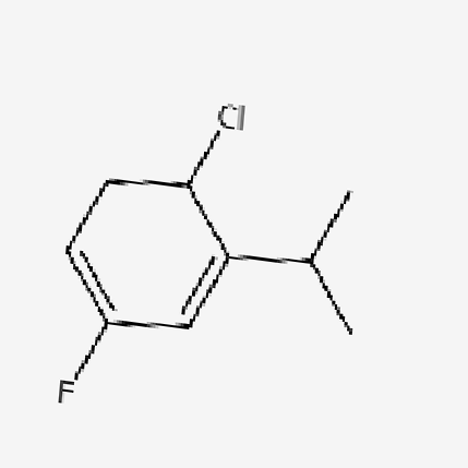 CC(C)C1=CC(F)=CCC1Cl